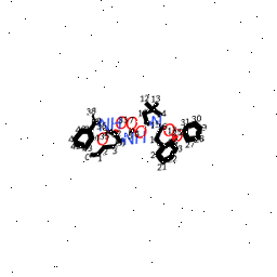 CCCC[C@H](NC(=O)OC1CC(C)(C)CN1C(=O)Cc1ccccc1Oc1ccccc1)C(=O)C(=O)N[C@H](C)c1ccccc1